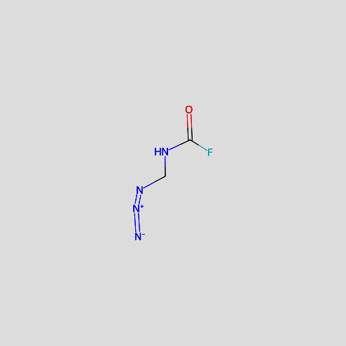 [N-]=[N+]=NCNC(=O)F